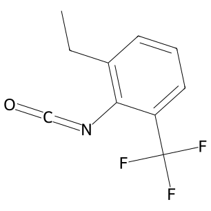 CCc1cccc(C(F)(F)F)c1N=C=O